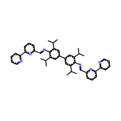 CC(C)c1cc(-c2cc(C(C)C)c(N=Cc3cccc(-c4ccccn4)n3)c(C(C)C)c2)cc(C(C)C)c1N=Cc1cccc(-c2ccccn2)n1